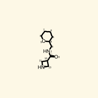 O=C(NCC1CCCCO1)C1CNC1